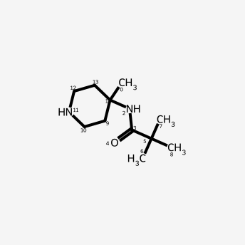 CC1(NC(=O)C(C)(C)C)CCNCC1